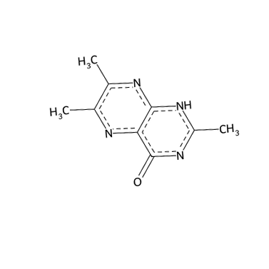 Cc1nc(=O)c2nc(C)c(C)nc2[nH]1